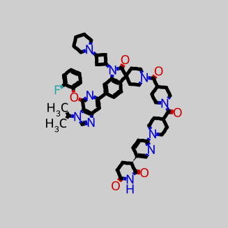 CC(C)n1cnc2cc(-c3ccc4c(c3)N(C3CC(N5CCCCC5)C3)C(=O)C43CCN(C(=O)C4CCN(C(=O)C5CCN(c6ccc([C@H]7CCC(=O)NC7=O)cn6)CC5)CC4)CC3)nc(Oc3ccccc3F)c21